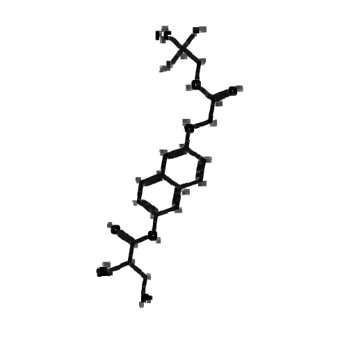 CC(C)CC(C(=O)Oc1ccc2cc(OCC(=O)OCC(F)(F)C(F)(F)F)ccc2c1)C(C)(C)C